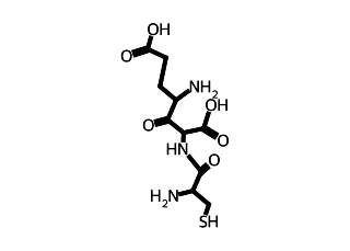 NC(CS)C(=O)NC(C(=O)O)C(=O)C(N)CCC(=O)O